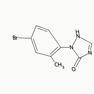 Cc1cc(Br)ccc1-n1[nH]cnc1=O